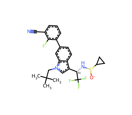 CC(C)(C)Cn1cc([C@H](N[S+]([O-])C2CC2)C(F)(F)F)c2ccc(-c3cccc(C#N)c3F)cc21